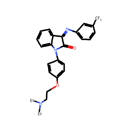 CCN(CC)CCOc1ccc(N2C(=O)C(=Nc3cccc(C(F)(F)F)c3)c3ccccc32)cc1